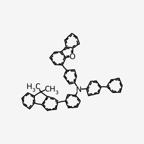 CC1(C)c2ccccc2-c2ccc(-c3cccc(N(c4ccc(-c5ccccc5)cc4)c4ccc(-c5cccc6c5oc5ccccc56)cc4)c3)cc21